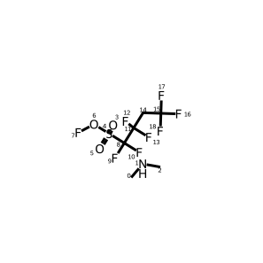 CNC.O=S(=O)(OF)C(F)(F)C(F)(F)CC(F)(F)F